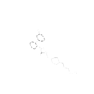 O=C(O)COC[C@H]1CC[C@H](COC(=O)Nc2ccccc2-c2cccc(Cl)c2)CC1